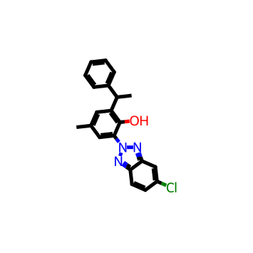 Cc1cc(C(C)c2ccccc2)c(O)c(-n2nc3ccc(Cl)cc3n2)c1